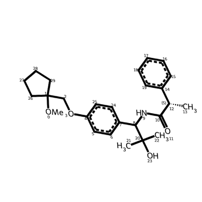 COC1(COc2ccc(C(NC(=O)[C@@H](C)c3ccccc3)C(C)(C)O)cc2)CCCC1